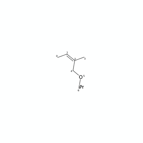 C/C=C(/C)COC(C)C